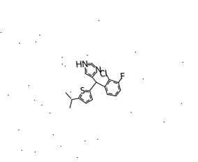 CC(C)c1ccc(C(c2c[nH]cn2)c2cccc(F)c2Cl)s1